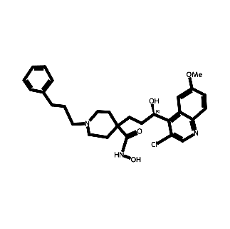 COc1ccc2ncc(Cl)c([C@H](O)CCC3(C(=O)NO)CCN(CCCc4ccccc4)CC3)c2c1